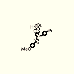 CCCCNC(=O)Oc1cc(-c2csc(-c3ccc(OC)cc3)n2)n(Cc2ccc(C(C)C)cc2)c1C